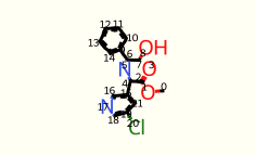 COC(=O)C(/N=C(\CO)c1ccccc1)c1cncc(Cl)c1